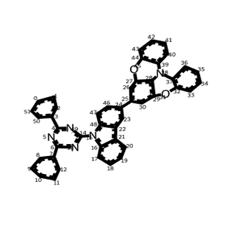 c1ccc(-c2nc(-c3ccccc3)nc(-n3c4ccccc4c4cc(-c5cc6c7c(c5)Oc5ccccc5N7c5ccccc5O6)ccc43)n2)cc1